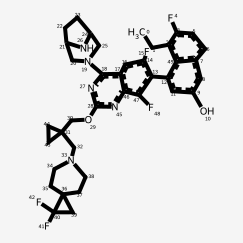 CCc1c(F)ccc2cc(O)cc(-c3c(F)cc4c(N5CC6CCC(C5)N6)nc(OCC5(CN6CCC7(CC6)CC7(F)F)CC5)nc4c3F)c12